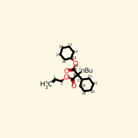 C=CCOC(=O)C(CCCC)(C(=O)OC1CCCCC1)C1CCCCC1